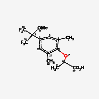 COC(c1cc(C)c(OC(C)C(=O)O)c(C)c1)(C(F)(F)F)C(F)(F)F